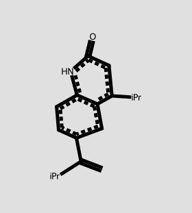 C=C(c1ccc2[nH]c(=O)cc(C(C)C)c2c1)C(C)C